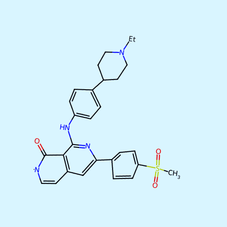 CCN1CCC(c2ccc(Nc3nc(-c4ccc(S(C)(=O)=O)cc4)cc4c3C(=O)[N]C=C4)cc2)CC1